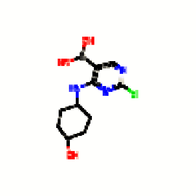 OB(O)c1cnc(Cl)nc1NC1CCC(O)CC1